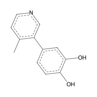 Cc1ccncc1-c1ccc(O)c(O)c1